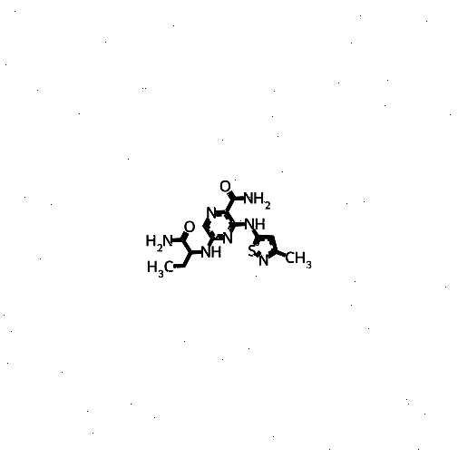 CCC(Nc1cnc(C(N)=O)c(Nc2cc(C)ns2)n1)C(N)=O